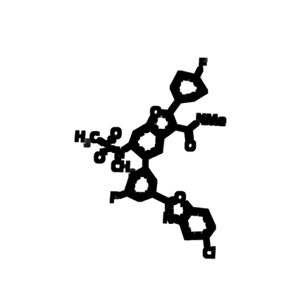 CNC(=O)c1c(-c2ccc(F)cc2)oc2cc(N(C)S(C)(=O)=O)c(-c3cc(F)cc(-c4nc5cc(Cl)ccc5o4)c3)cc12